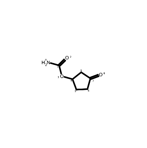 NC(=O)OC1CCC(=O)C1